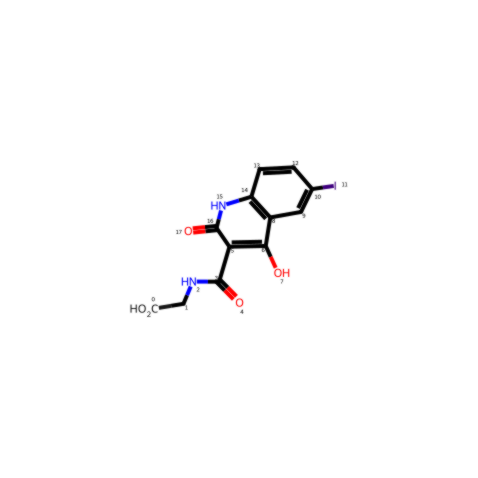 O=C(O)CNC(=O)c1c(O)c2cc(I)ccc2[nH]c1=O